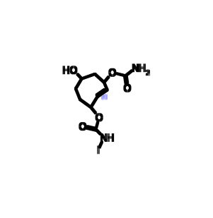 NC(=O)OC1/C=C/C(OC(=O)NI)CCC(O)C1